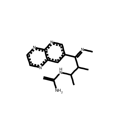 C=C(N)NC(C)C(C)/C(=N\C)c1cnc2nccnc2c1